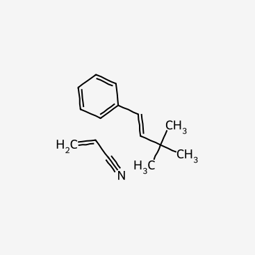 C=CC#N.CC(C)(C)C=Cc1ccccc1